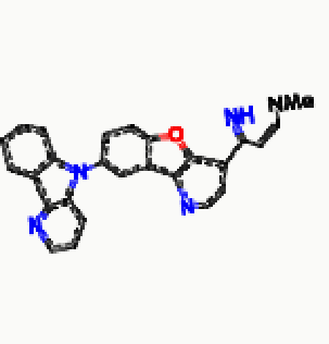 CN/C=C\C(=N)c1ccnc2c1oc1ccc(-n3c4ccccc4c4ncccc43)cc12